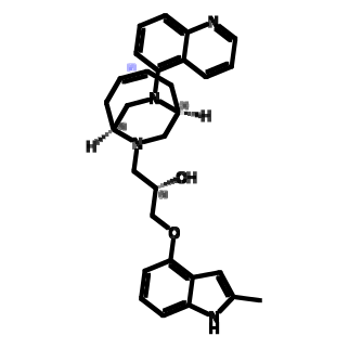 Cc1cc2c(OC[C@@H](O)CN3C[C@@H]4C/C=C\C[C@H]3CN4c3cccc4ncccc34)cccc2[nH]1